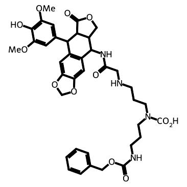 COc1cc(C2c3cc4c(cc3C(NC(=O)CNCCCN(CCCNC(=O)OCc3ccccc3)C(=O)O)C3COC(=O)C23)OCO4)cc(OC)c1O